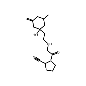 C=C1CC(C)CC(O)(CCNCC(=O)N2CCCC2C#N)C1